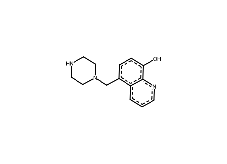 Oc1ccc(CN2CCNCC2)c2cccnc12